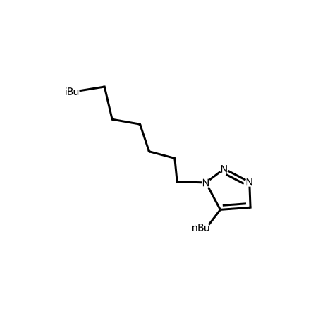 CCCCc1cnnn1CCCCCCC(C)CC